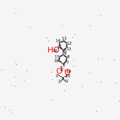 CC1(C)COB(c2ccc(-c3ccccc3O)cc2)OC1